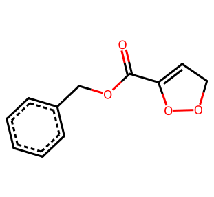 O=C(OCc1ccccc1)C1=CCOO1